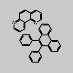 c1ccc(-c2c(-c3ccccc3)c3ccccc3c3ccccc23)cc1.c1cnc2c(c1)ccc1ncccc12